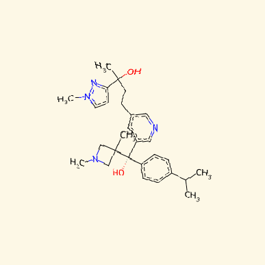 CC(C)c1ccc([C@](O)(c2cncc(CCC(C)(O)c3ccn(C)n3)c2)C2(C)CN(C)C2)cc1